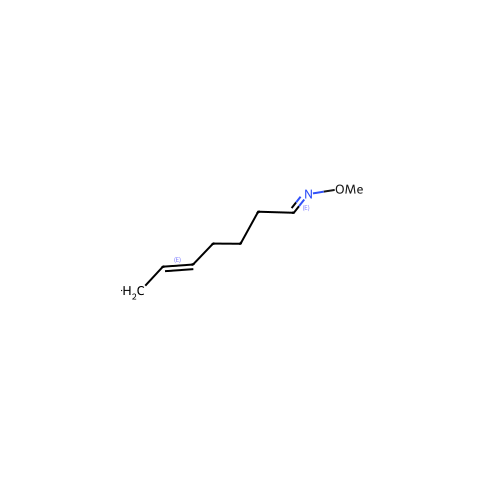 [CH2]/C=C/CCC/C=N/OC